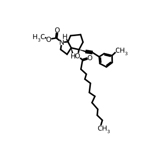 CCCCCCCCCCCC(=O)O[C@@]1(C#Cc2cccc(C)c2)CCC[C@@H]2[C@H]1CCN2C(=O)OC